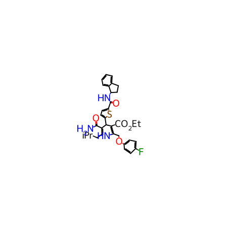 CCOC(=O)C1=C(COc2ccc(F)cc2)NC(CC(C)C)=C(C(N)=O)C1c1ccc(C(=O)N[C@@H]2CCc3ccccc32)s1